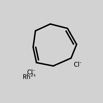 C1=CCCC=CCC1.[Cl-].[Cl-].[Rh+2]